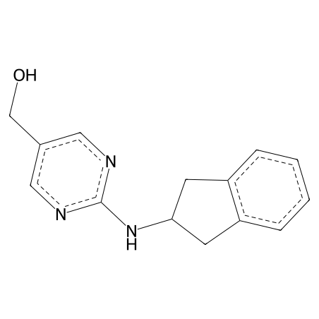 OCc1cnc(NC2Cc3ccccc3C2)nc1